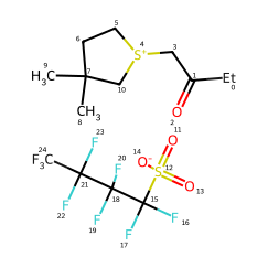 CCC(=O)C[S+]1CCC(C)(C)C1.O=S(=O)([O-])C(F)(F)C(F)(F)C(F)(F)C(F)(F)F